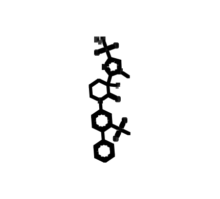 Cn1cc(S(N)(=O)=O)nc1C1(F)CCCN(c2ccc(-c3ccccc3)c(S(C)(=O)=O)c2)C1=O